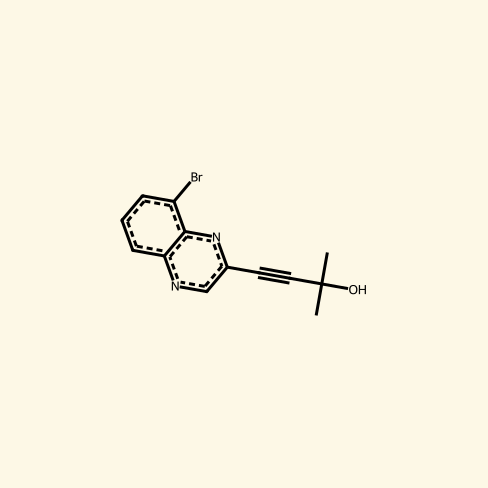 CC(C)(O)C#Cc1cnc2cccc(Br)c2n1